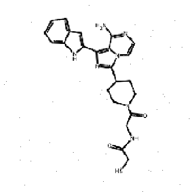 Nc1nccn2c(C3CCN(C(=O)CNC(=O)CS)CC3)nc(-c3cc4ccccc4[nH]3)c12